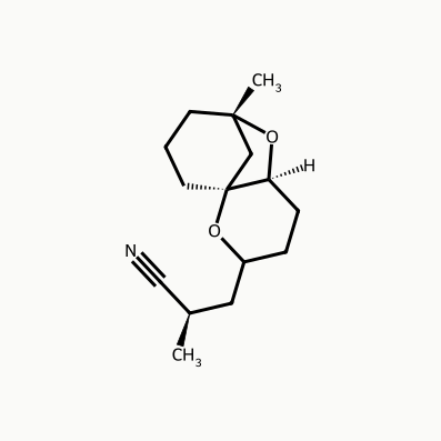 C[C@@H](C#N)CC1CC[C@@H]2O[C@@]3(C)CCC[C@@]2(C3)O1